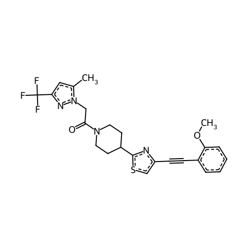 COc1ccccc1C#Cc1csc(C2CCN(C(=O)Cn3nc(C(F)(F)F)cc3C)CC2)n1